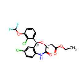 CCOC(=O)C[C@H]1O[C@H](c2cccc(OC(F)F)c2Cl)c2cc(Cl)ccc2NC1=O